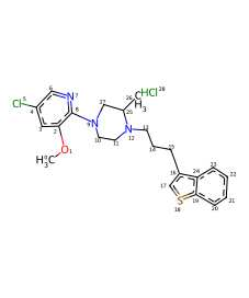 COc1cc(Cl)cnc1N1CCN(CCCc2csc3ccccc23)C(C)C1.Cl